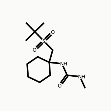 CNC(=O)NC1(CS(=O)(=O)C(C)(C)C)CCCCC1